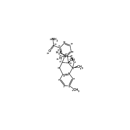 Cc1ccc2c(c1)[C@@]1(C)CCN(C)[C@H](C2)[C@]1(O)c1cccc(C(N)=O)c1